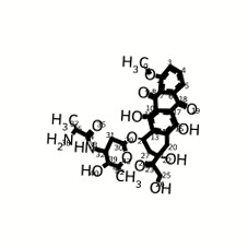 COc1cccc2c1C(=O)c1c(O)c3c(c(O)c1C2=O)C[C@@](O)(C(=O)CO)C[C@@H]3OC1CC(NC(=O)[C@@H](C)N)C(O)C(C)O1